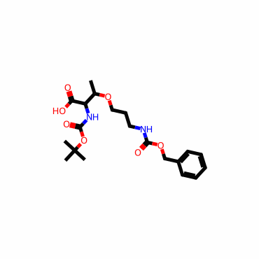 CC(OCCCNC(=O)OCc1ccccc1)C(NC(=O)OC(C)(C)C)C(=O)O